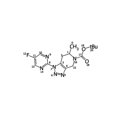 CC1Cc2c(nnn2-c2ncc(F)cn2)CN1C(=O)OC(C)(C)C